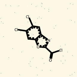 O=C(Cl)c1nc2cc(Cl)c(Cl)cc2o1